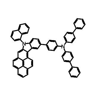 c1ccc(-c2ccc(N(c3ccc(-c4ccccc4)cc3)c3ccc(-c4ccc5c(c4)c4c6ccc7cccc8ccc(cc4n5-c4cccc5ccccc45)c6c87)cc3)cc2)cc1